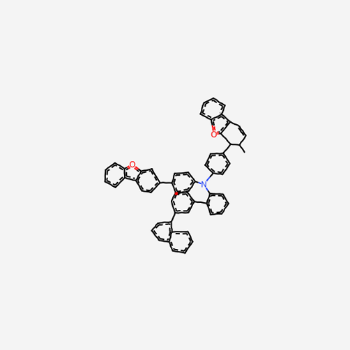 CC1C=Cc2c(oc3ccccc23)C1c1ccc(N(c2ccc(-c3ccc4c(c3)oc3ccccc34)cc2)c2ccccc2-c2cccc(-c3cccc4ccccc34)c2)cc1